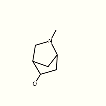 CN1CC2CC1CC2[O]